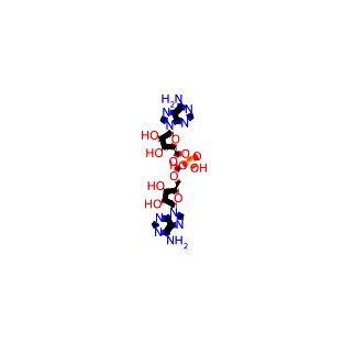 Nc1ncnc2c1ncn2[C@@H]1O[C@H](C(OCOC[C@H]2O[C@@H](n3cnc4c(N)ncnc43)[C@H](O)[C@@H]2O)OP(=O)(O)O)[C@@H](O)[C@H]1O